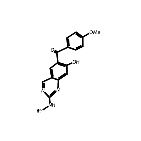 COc1ccc(C(=O)c2cc3cnc(NC(C)C)nc3cc2O)cc1